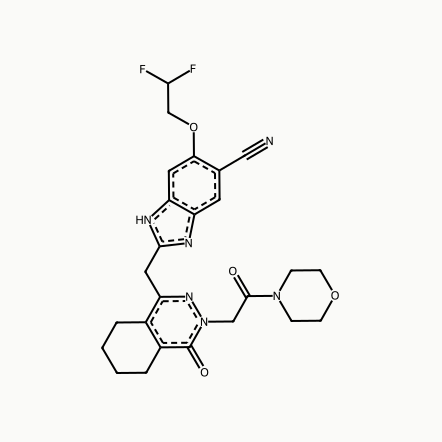 N#Cc1cc2nc(Cc3nn(CC(=O)N4CCOCC4)c(=O)c4c3CCCC4)[nH]c2cc1OCC(F)F